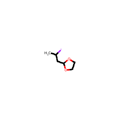 CC(I)CC1OCCO1